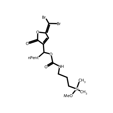 CCCCCC(OC(=O)NCCC[Si](C)(C)OC)C1=CC(=C(Br)Br)OC1=O